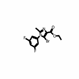 CCOC(=O)c1nc(C)n(-c2cc(F)cc(F)c2)c1Br